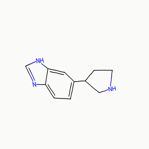 c1nc2ccc(C3CCNC3)cc2[nH]1